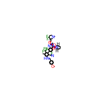 COc1ccc(CNc2cc(C)c(C(F)(F)F)c(-c3c(F)cc4c(N5C[C@H]6CC[C@@H](C5)N6C(=O)OC(C)(C)C)nc(OC[C@]5(C)CN(C)CCC5(F)F)nc4c3F)c2C#N)cc1